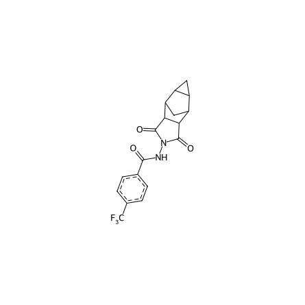 O=C(NN1C(=O)C2C3CC(C4CC43)C2C1=O)c1ccc(C(F)(F)F)cc1